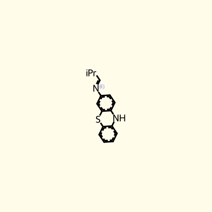 CC(C)/C=N/c1ccc2c(c1)Sc1ccccc1N2